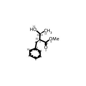 COC(=O)[C@@H](Cc1ccccc1)[C@H](C)O